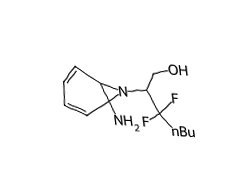 CCCCC(F)(F)C(CO)N1C2C=CC=CC21N